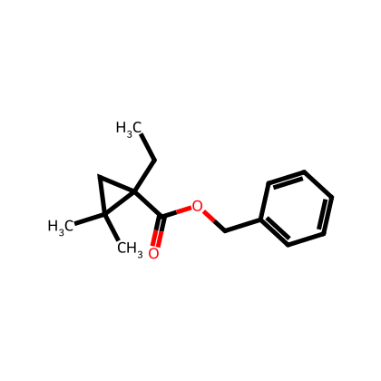 CCC1(C(=O)OCc2ccccc2)CC1(C)C